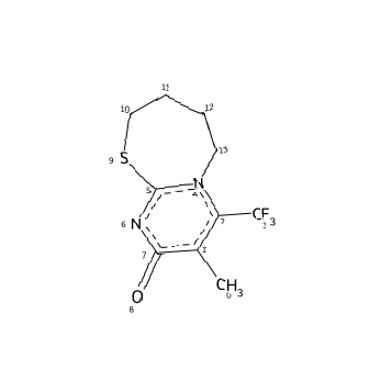 Cc1c(C(F)(F)F)n2c(nc1=O)SCCCC2